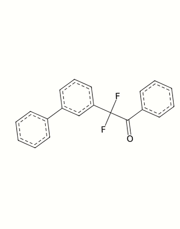 O=C(c1ccccc1)C(F)(F)c1cccc(-c2ccccc2)c1